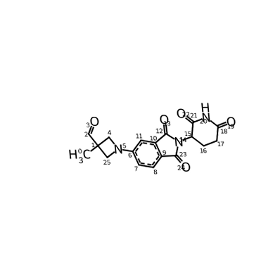 CC1(C=O)CN(c2ccc3c(c2)C(=O)N(C2CCC(=O)NC2=O)C3=O)C1